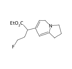 CCOC(=O)C(CCF)C1=CCN2CCCC2=C1